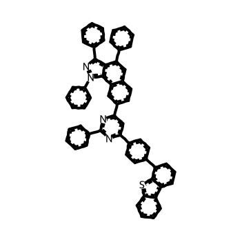 c1ccc(-c2nc(-c3ccc(-c4cccc5c4sc4ccccc45)cc3)cc(-c3ccc4cc(-c5ccccc5)c5c(-c6ccccc6)nn(-c6ccccc6)c5c4c3)n2)cc1